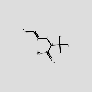 CC(C)(C)C(CC=CCl)C(=O)O